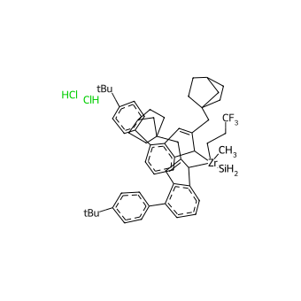 CC(C)(C)c1ccc(-c2cccc3c2C=C(CC24CCC(CC2)C4)[CH]3[Zr]([CH3])(=[SiH2])([CH2]CC(F)(F)F)[CH]2C(CC34CCC(CC3)C4)=Cc3c(-c4ccc(C(C)(C)C)cc4)cccc32)cc1.Cl.Cl